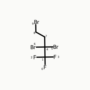 FC(F)(F)C(Br)(Br)CCBr